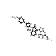 C=CN(C)/C(CN1CCC(n2c(=O)n(-c3ccc(-c4ccc(C(=O)O)cc4)cc3O)c3cccnc32)C1)=N\C